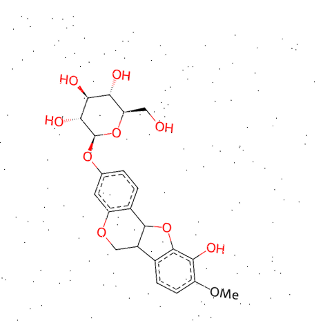 COc1ccc2c(c1O)OC1c3ccc(O[C@@H]4O[C@H](CO)[C@@H](O)[C@H](O)[C@H]4O)cc3OCC21